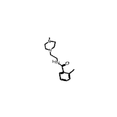 Cc1ccccc1C(=O)NCCN1CCN(C)CC1